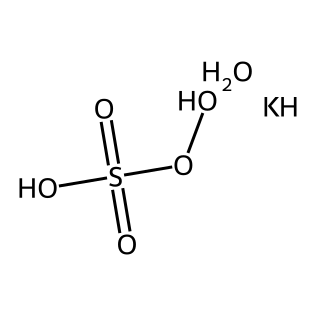 O.O=S(=O)(O)OO.[KH]